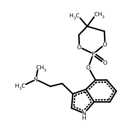 CN(C)CCc1c[nH]c2cccc(OP3(=O)OCC(C)(C)CO3)c12